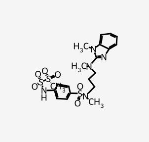 CN(CCCN(C)S(=O)(=O)c1ccc(NS(=O)(=O)S(C)(=O)=O)cc1)c1nc2ccccc2n1C